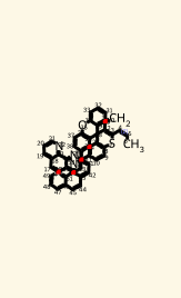 C=CC1=C(/C=C\C)Sc2ccc(-c3ccc4ccc5cccnc5c4n3)cc2C12c1ccccc1Oc1ccc(-c3ccc4ccc5cccnc5c4n3)cc12